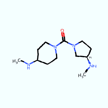 CNC1CCN(C(=O)N2CC[C@@H](NC)C2)CC1